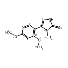 COc1ccc(-c2c[nH]c(=S)n2C)c(OC)c1